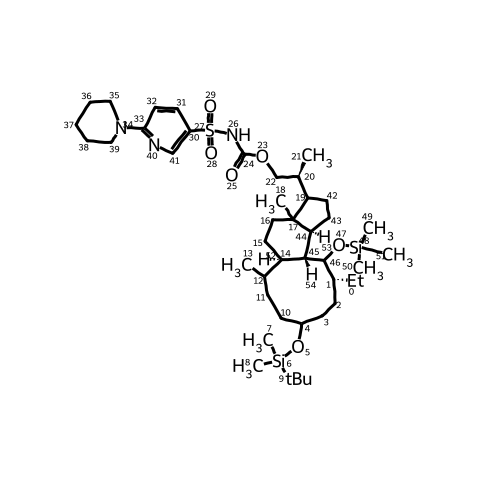 CC[C@@H]1CCC(O[Si](C)(C)C(C)(C)C)CCC(C)[C@H]2CCC3(C)C([C@H](C)COC(=O)NS(=O)(=O)c4ccc(N5CCCCC5)nc4)CC[C@H]3[C@@H]2C1O[Si](C)(C)C